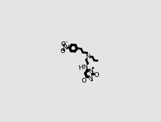 CCCN(CCCc1ccc([N+](=O)[O-])cc1)CCNc1cc(=O)n(C)c(=O)n1C